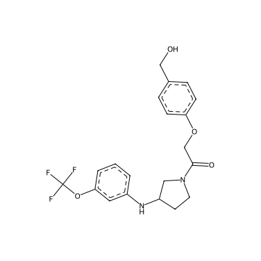 O=C(COc1ccc(CO)cc1)N1CCC(Nc2cccc(OC(F)(F)F)c2)C1